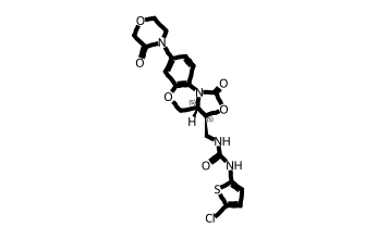 O=C(NC[C@@H]1OC(=O)N2c3ccc(N4CCOCC4=O)cc3OC[C@@H]12)Nc1ccc(Cl)s1